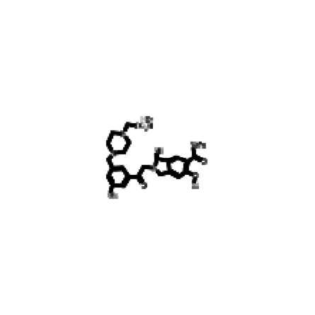 Br.CCOc1cc2c(cc1C(=O)NC)C(=N)N(CC(=O)c1cc(CN3CCN(CC(=O)O)CC3)cc(C(C)(C)C)c1)C2